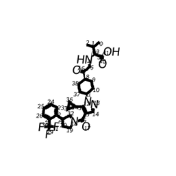 CC(C)[C@H](NCC(=O)[C@H]1CC[C@H](n2ncc(C(=O)N3CCC(c4ccccc4C(F)(F)F)C3)c2C2CC2)CC1)C(=O)O